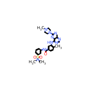 Cc1ccc(C(=O)Nc2cccc(S(=O)(=O)N(C)C)c2)cc1Nc1ncnc2cnc(N3CCN(C)CC3)nc12